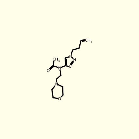 C=CCCn1cc(N(CCN2CCOCC2)C(C)=O)nn1